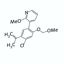 C=C(C)c1cc(-c2cccnc2OC)c(OCOC)cc1Cl